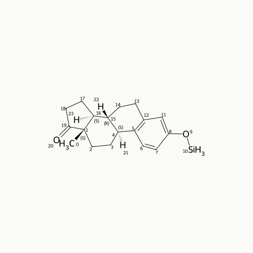 C[C@]12CC[C@@H]3c4ccc(O[SiH3])cc4CC[C@H]3[C@@H]1CCC2=O